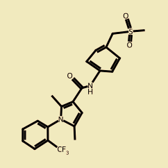 Cc1cc(C(=O)Nc2ccc(CS(C)(=O)=O)cc2)c(C)n1-c1ccccc1C(F)(F)F